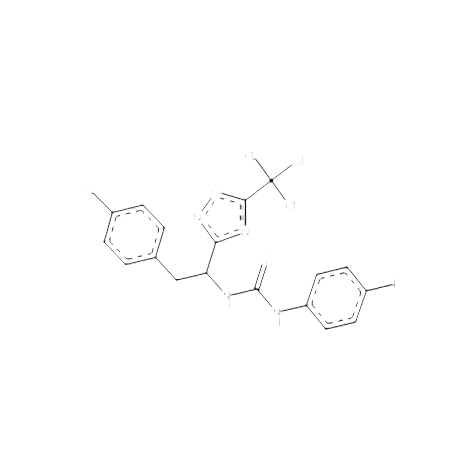 O=C(Nc1ccc(F)cc1)NC(Cc1ccc(Cl)cc1)c1noc(C(Cl)(Cl)Cl)n1